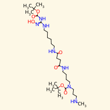 CNCCCN(CCCCNC(=O)CCC(=O)NCCCCCCNC(=NO)NC(=O)OC(C)(C)C)C(=O)OC(C)(C)C